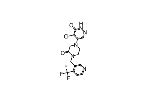 O=C1CN(c2cn[nH]c(=O)c2Cl)CCN1Cc1cnccc1C(F)(F)F